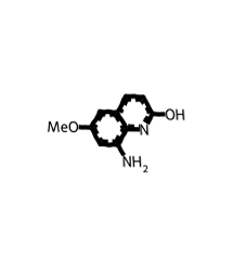 COc1cc(N)c2nc(O)ccc2c1